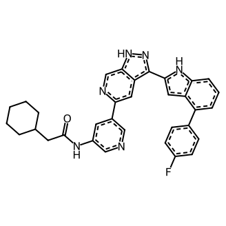 O=C(CC1CCCCC1)Nc1cncc(-c2cc3c(-c4cc5c(-c6ccc(F)cc6)cccc5[nH]4)n[nH]c3cn2)c1